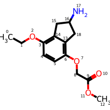 CCOc1ccc(OCC(=O)OC)c2c1CC(N)C2